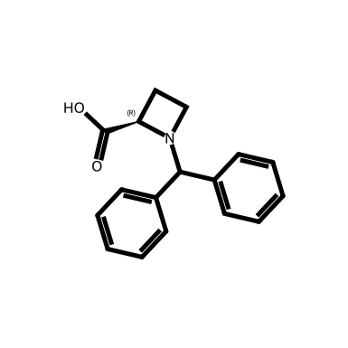 O=C(O)[C@H]1CCN1C(c1ccccc1)c1ccccc1